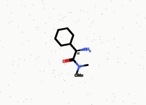 CON(C)C(=O)[C@H](N)C1CCCCC1